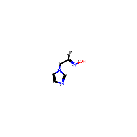 CC(C)C(Cn1ccnc1)=NO